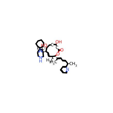 C/C(=C\C=C\[C@H](C)c1ccccn1)[C@H]1OC(=O)C[C@@H](O)CC[C@](C)(O)[C@H](C23CCC(CNC2)N3C2CCCCCC2)/C=C/[C@@H]1C